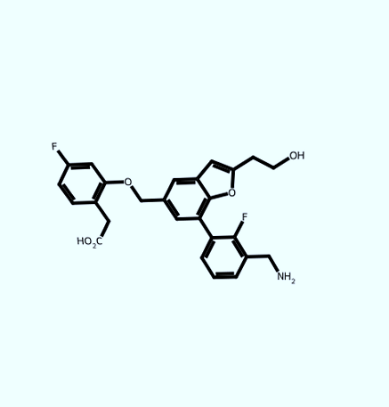 NCc1cccc(-c2cc(COc3cc(F)ccc3CC(=O)O)cc3cc(CCO)oc23)c1F